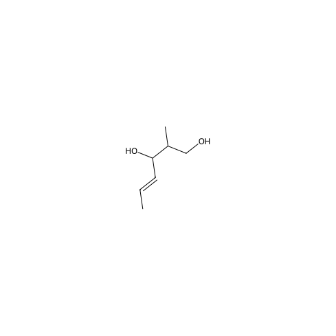 C/C=C/C(O)C(C)CO